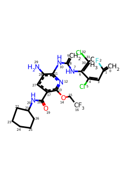 C=C(F)/C=C(Cl)\C(NC(=C)Nc1nc(OCC(F)(F)F)c(C(=O)NC2CCCCC2)cc1N)=C(/C)Cl